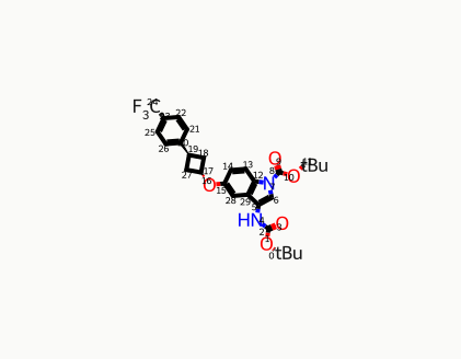 CC(C)(C)OC(=O)Nc1cn(C(=O)OC(C)(C)C)c2ccc(O[C@H]3C[C@H](c4ccc(C(F)(F)F)cc4)C3)cc12